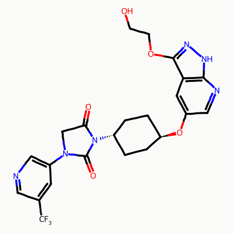 O=C1CN(c2cncc(C(F)(F)F)c2)C(=O)N1[C@H]1CC[C@H](Oc2cnc3[nH]nc(OCCO)c3c2)CC1